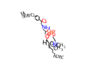 CCCCCCCCCCCCCCCCOCC(CNCC(=O)c1ccc(OC)cc1)OP(=O)([O-])OCC[N+](C)(C)C